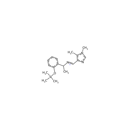 Cc1c(/C=N/C(C)c2ccccc2O[Si](C)(C)C)ncn1C